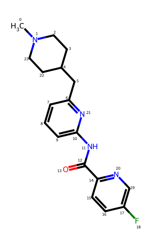 CN1CCC(Cc2cccc(NC(=O)c3ccc(F)cn3)n2)CC1